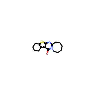 O=c1c2c3c(sc2nc2n1CCCCCC2)CCCC3